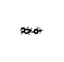 O=C(Nc1ccc(C(F)(F)F)c(Cl)c1)N1[C@H]2CC[C@@H]1c1ccnc(F)c1C2